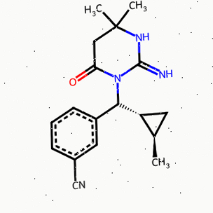 C[C@@H]1C[C@H]1C(c1cccc(C#N)c1)N1C(=N)NC(C)(C)CC1=O